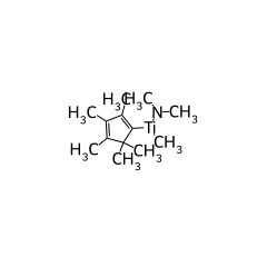 CC1=C(C)C(C)(C)[C]([Ti]([CH3])[N](C)C)=C1C